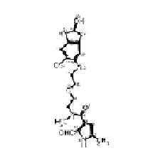 Cc1cc(C(=O)N(C)CCOCCSc2cc3c(cc2Cl)NC(O)C3)c(C=O)[nH]1